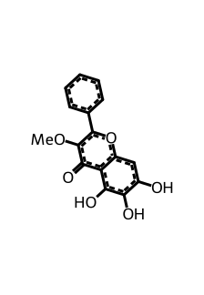 COc1c(-c2ccccc2)oc2cc(O)c(O)c(O)c2c1=O